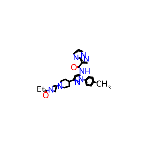 CCC(=O)N1CC(N2CCC(c3cc(NC(=O)c4cnn5cccnc45)n(-c4ccc(C)cc4)n3)CC2)C1